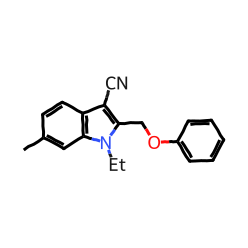 CCn1c(COc2ccccc2)c(C#N)c2ccc(C)cc21